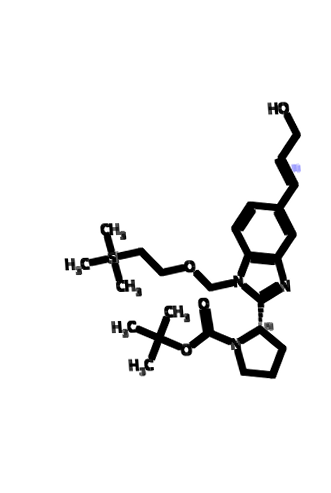 CC(C)(C)OC(=O)N1CCC[C@H]1c1nc2cc(/C=C/CO)ccc2n1COCC[Si](C)(C)C